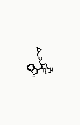 c1ccc2c(C3=C(COCC4CC4)SC4=NCCN43)csc2c1